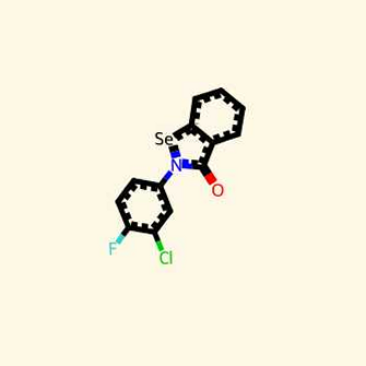 O=c1c2ccccc2[se]n1-c1ccc(F)c(Cl)c1